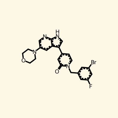 O=c1cc(-c2c[nH]c3ncc(N4CCOCC4)cc23)ccn1Cc1cc(F)cc(Br)c1